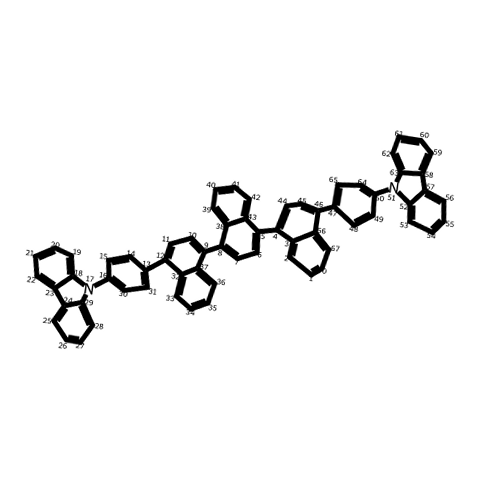 c1ccc2c(-c3ccc(-c4ccc(-c5ccc(-n6c7ccccc7c7ccccc76)cc5)c5ccccc45)c4ccccc34)ccc(-c3ccc(-n4c5ccccc5c5ccccc54)cc3)c2c1